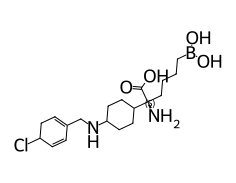 N[C@](CCCCB(O)O)(C(=O)O)C1CCC(NCC2=CCC(Cl)C=C2)CC1